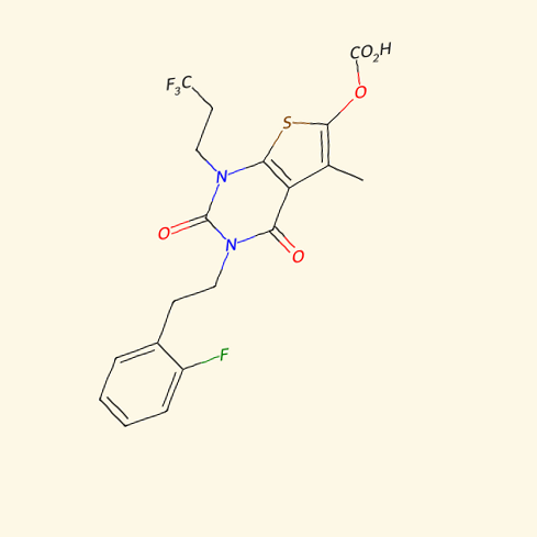 Cc1c(OC(=O)O)sc2c1c(=O)n(CCc1ccccc1F)c(=O)n2CCC(F)(F)F